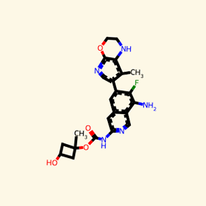 Cc1c(-c2cc3cc(NC(=O)OC4(C)CC(O)C4)ncc3c(N)c2F)cnc2c1NCCO2